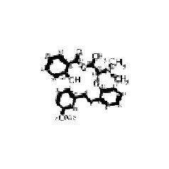 COc1cccc(CCc2ccccc2O[C@@H](C(C)OC(=O)c2ccccc2O)N(C)C)c1